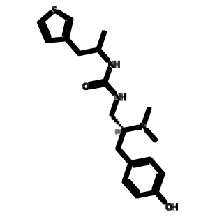 CC(Cc1ccsc1)NC(=O)NC[C@@H](Cc1ccc(O)cc1)N(C)C